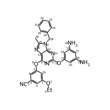 CCOc1cc(C#N)cc(Oc2nc(Oc3cc(N)cc(N)c3)nc3c2nc(C)n3Cc2ccccc2)c1